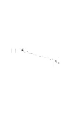 CC(Br)CCCCCCCCCCCCC(=O)O